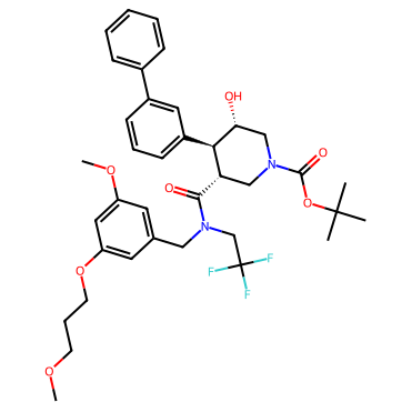 COCCCOc1cc(CN(CC(F)(F)F)C(=O)[C@H]2CN(C(=O)OC(C)(C)C)C[C@@H](O)[C@@H]2c2cccc(-c3ccccc3)c2)cc(OC)c1